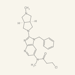 CN1C[C@@H]2CN(c3nc4ncc(N(C)C(=O)CCCl)cc4n3Cc3ccccc3)C[C@@H]2C1